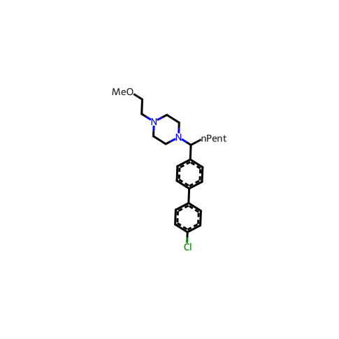 CCCCCC(c1ccc(-c2ccc(Cl)cc2)cc1)N1CCN(CCOC)CC1